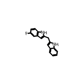 Fc1ccc2[nH]c(Cc3cc4ccccc4[nH]3)cc2c1